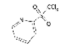 O=S(=O)(c1ccccn1)C(Cl)(Cl)Cl